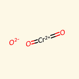 [O-2].[O]=[Cr+2]=[O]